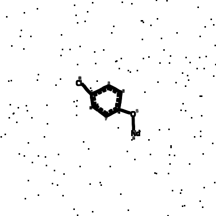 Clc1ccc([O][Nd])cc1